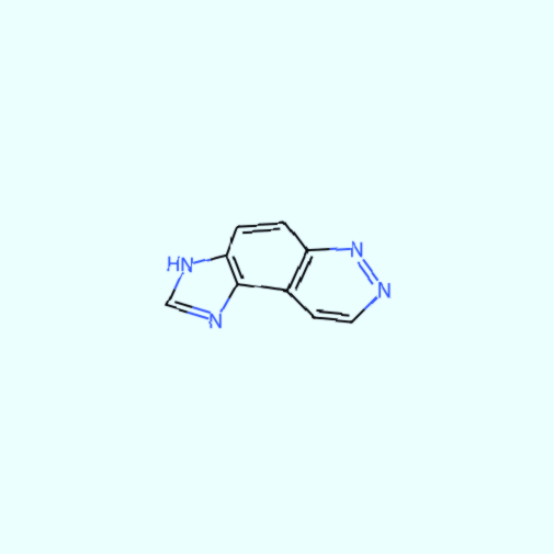 c1cc2c(ccc3[nH]cnc32)nn1